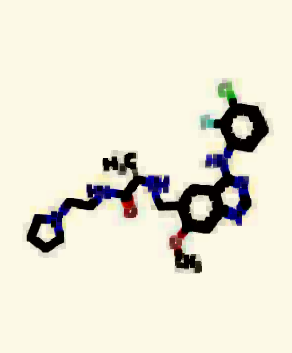 COc1cc2ncnc(Nc3cccc(Cl)c3F)c2cc1CN[C@@H](C)C(=O)NCCN1CCCC1